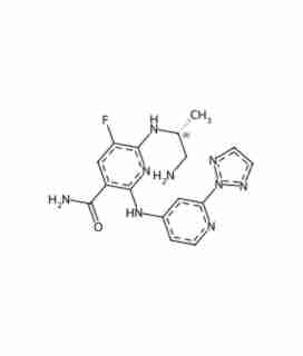 C[C@H](CN)Nc1nc(Nc2ccnc(-n3nccn3)c2)c(C(N)=O)cc1F